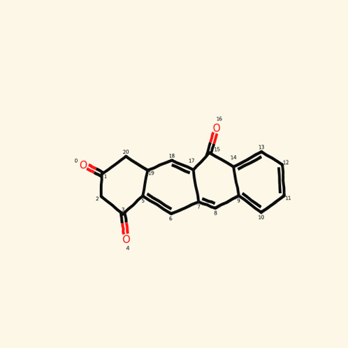 O=C1CC(=O)C2=CC3=Cc4ccccc4C(=O)C3=CC2C1